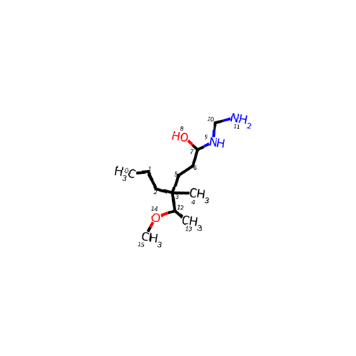 CCCC(C)(CCC(O)NCN)C(C)OC